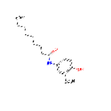 CCCCCCCCCCCCCCCCCC(=O)Nc1ccc(O)c(C(=O)O)c1